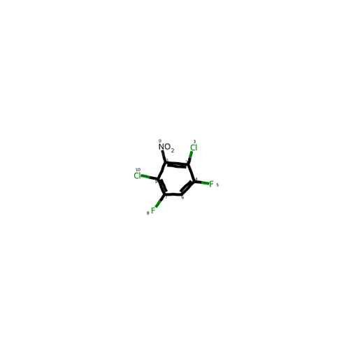 O=[N+]([O-])c1c(Cl)c(F)cc(F)c1Cl